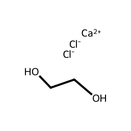 OCCO.[Ca+2].[Cl-].[Cl-]